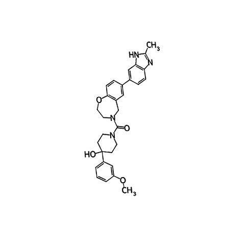 COc1cccc(C2(O)CCN(C(=O)N3CCOc4ccc(-c5ccc6nc(C)[nH]c6c5)cc4C3)CC2)c1